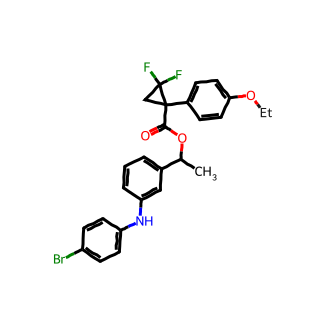 CCOc1ccc(C2(C(=O)OC(C)c3cccc(Nc4ccc(Br)cc4)c3)CC2(F)F)cc1